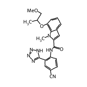 COCC(C)Oc1cccc2cc(C(=O)Nc3ccc(C#N)cc3-c3nnn[nH]3)n(C)c12